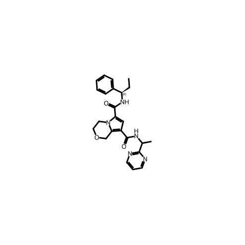 CC[C@@H](NC(=O)c1cc(C(=O)NC(C)c2ncccn2)c2n1CCOC2)c1ccccc1